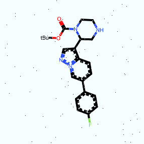 CC(C)(C)OC(=O)N1CCNCC1c1cnn2cc(-c3ccc(F)cc3)ccc12